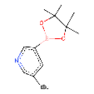 CC(C)(C)c1cncc(B2OC(C)(C)C(C)(C)O2)c1